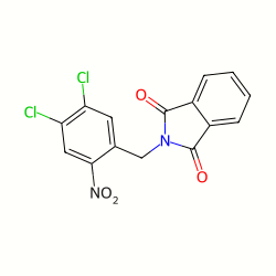 O=C1c2ccccc2C(=O)N1Cc1cc(Cl)c(Cl)cc1[N+](=O)[O-]